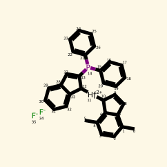 Cc1ccc(C)c2c1C=C[CH]2[Hf+2][CH]1C(P(c2ccccc2)c2ccccc2)=Cc2ccccc21.[F-].[F-]